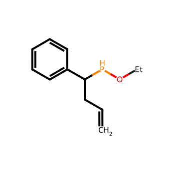 C=CCC(POCC)c1ccccc1